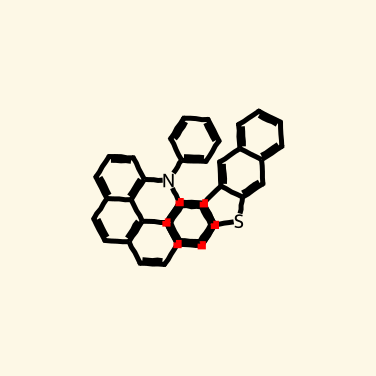 c1ccc(N(c2cccc3sc4cc5ccccc5cc4c23)c2cccc3ccc4ccc5ccccc5c4c23)cc1